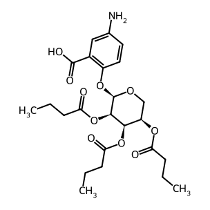 CCCC(=O)O[C@H]1[C@@H](Oc2ccc(N)cc2C(=O)O)OC[C@@H](OC(=O)CCC)[C@H]1OC(=O)CCC